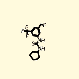 FCc1cc(NC(=S)NC2CCCCC2)cc(C(F)(F)F)c1